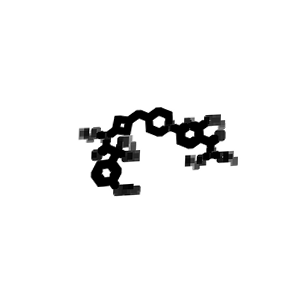 COc1cccc([C@@](O)(C(=O)N(C)C2CC(CC3CCN(c4ccc(C(=O)N(C)C)c(C)n4)CC3)C2)C(F)(F)F)c1